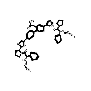 COCN[C@@H](C(=O)N1CCC[C@H]1c1ncc(-c2ccc(-c3ccc(-c4cnc([C@@H]5CCCN5C(=O)[C@H](NCOC)c5ccccc5)[nH]4)cc3C(=O)O)cc2)[nH]1)c1ccccc1